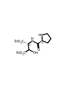 CCOC(=O)C(O)[C@@H](NC(=O)[C@@H]1CCCN1)C(=O)OCC